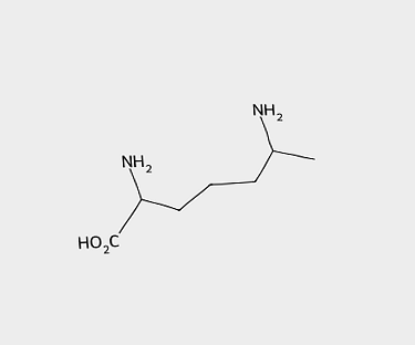 CC(N)CCCC(N)C(=O)O